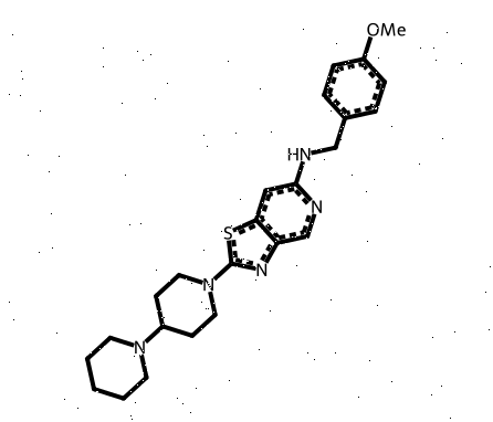 COc1ccc(CNc2cc3sc(N4CCC(N5CCCCC5)CC4)nc3cn2)cc1